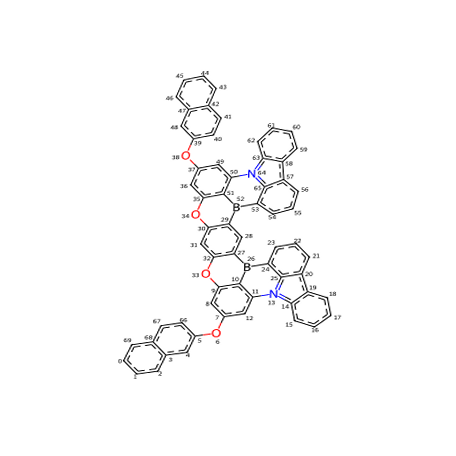 c1ccc2cc(Oc3cc4c5c(c3)-n3c6ccccc6c6cccc(c63)B5c3cc5c(cc3O4)Oc3cc(Oc4ccc6ccccc6c4)cc4c3B5c3cccc5c6ccccc6n-4c35)ccc2c1